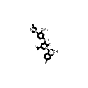 COc1cc(Nc2cc(C(F)F)cn([C@@H](CO)c3ccc(F)cc3F)c2=O)ccc1-n1cnc(C)c1